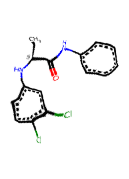 C[C@H](Nc1ccc(Cl)c(Cl)c1)C(=O)Nc1ccccc1